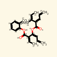 C=C/C=C(OC(=O)C(=C/C=C)/C(=C\C)OC)\C(=C/C)C(=O)Oc1ccccc1C(=O)O